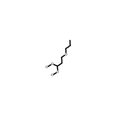 CCCOCCC(OCl)OCl